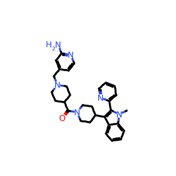 Cn1c(-c2ccccn2)c(C2CCN(C(=O)C3CCN(Cc4ccnc(N)c4)CC3)CC2)c2ccccc21